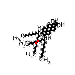 CCCCCCCCCC(CCCCCCCCC)NC(=O)c1ccc2c3ccc(C(=O)O)c4c(C(=O)O)ccc(c5ccc(C(=O)NC(CCCCCCCCC)CCCCCCCCC)c1c25)c43